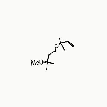 C=CC(C)(C)OCCC(C)(C)OC